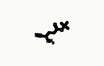 CC(C)(C)OC(=O)CCC(N)C#N